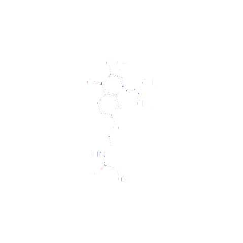 CN(C)n1cc(C(=O)O)c(=O)c2ccc(OCCNC(=O)OC(C)(C)C)cc21